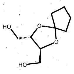 OC[C@@H]1OC2(CCCC2)O[C@H]1CO